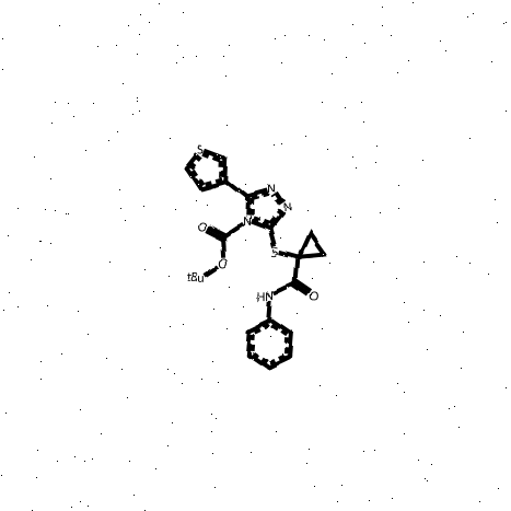 CC(C)(C)OC(=O)n1c(SC2(C(=O)Nc3ccccc3)CC2)nnc1-c1ccsc1